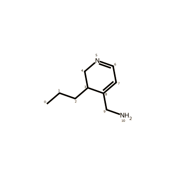 CCCC1CN=CC=C1CN